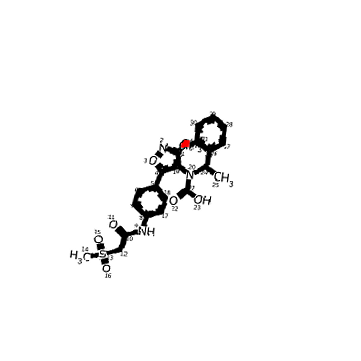 Cc1noc(-c2ccc(NC(=O)CS(C)(=O)=O)cc2)c1N(C(=O)O)C(C)c1ccccc1Cl